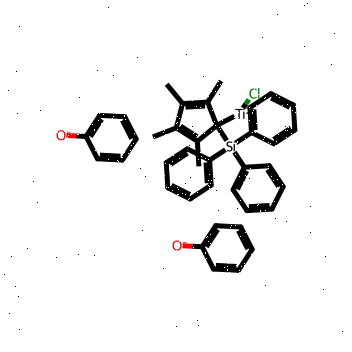 CC1=C(C)[C]([Ti+2][Cl])([Si](c2ccccc2)(c2ccccc2)c2ccccc2)C(C)=C1C.[O-]c1ccccc1.[O-]c1ccccc1